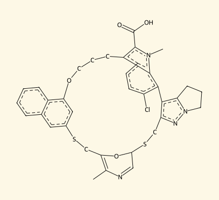 CC1=C2CSc3cc(c4ccccc4c3)OCCCc3c(C(=O)O)n(C)c4c(c(Cl)ccc34)-c3c(nn4c3CCC4)CSC(C=N1)O2